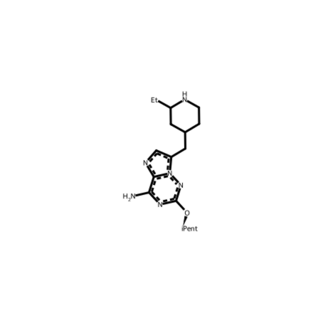 CCC[C@H](C)Oc1nc(N)c2ncc(CC3CCNC(CC)C3)n2n1